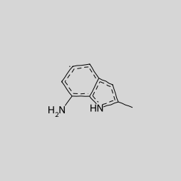 Cc1cc2c[c]cc(N)c2[nH]1